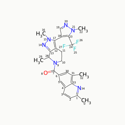 Cc1ccc2cc(C(=O)N3CCc4c(nn(C)c4-c4cnn(C)c4C(F)(F)F)C3C)cc(C)c2n1